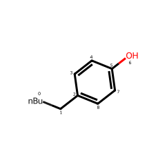 [CH2]CCCCc1ccc(O)cc1